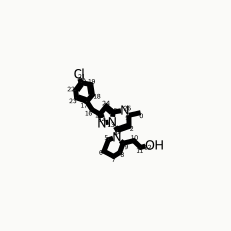 Cc1cc(N2CCCCC2CCO)n2nc(Cc3ccc(Cl)cc3)cc2n1